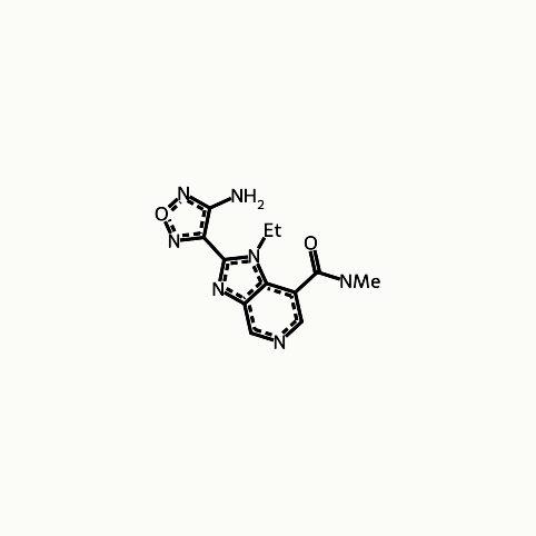 CCn1c(-c2nonc2N)nc2cncc(C(=O)NC)c21